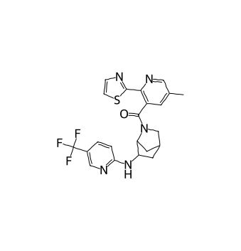 Cc1cnc(-c2nccs2)c(C(=O)N2CC3CC(Nc4ccc(C(F)(F)F)cn4)C2C3)c1